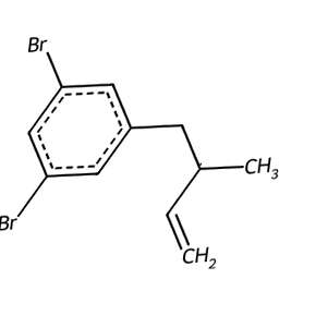 C=C[C](C)Cc1cc(Br)cc(Br)c1